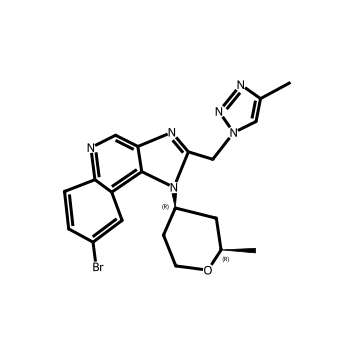 Cc1cn(Cc2nc3cnc4ccc(Br)cc4c3n2[C@@H]2CCO[C@H](C)C2)nn1